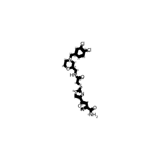 NC(=O)c1cc(-c2csc(SCC(=O)NCC3CN(Cc4ccc(Cl)c(Cl)c4)CCO3)n2)on1